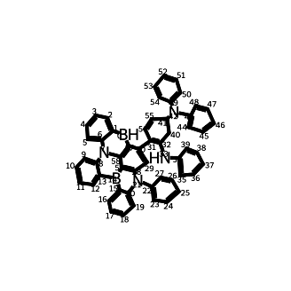 B1c2ccccc2N2c3ccccc3B3c4ccccc4N(c4ccccc4)c4cc(C5=C(Nc6ccccc6)CC(N(c6ccccc6)c6ccccc6)C=C5)c1c2c43